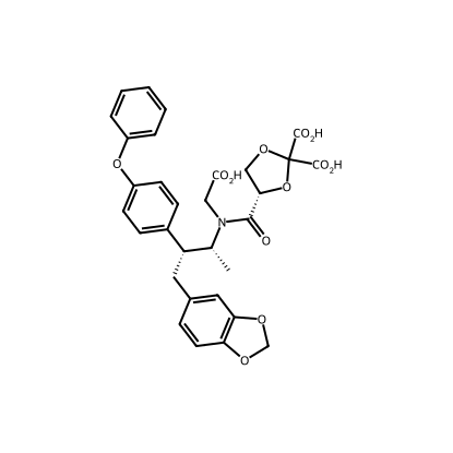 C[C@H]([C@H](Cc1ccc2c(c1)OCO2)c1ccc(Oc2ccccc2)cc1)N(CC(=O)O)C(=O)[C@@H]1COC(C(=O)O)(C(=O)O)O1